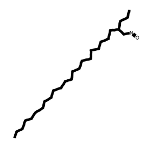 CCCCCCCCCCCCCCCCCCCCCCC(CCC)CN=O